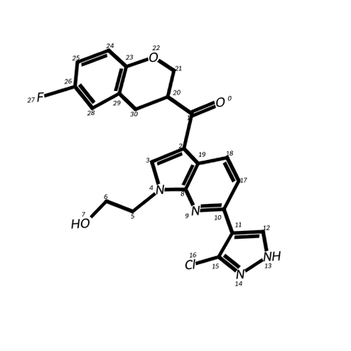 O=C(c1cn(CCO)c2nc(-c3c[nH]nc3Cl)ccc12)C1COc2ccc(F)cc2C1